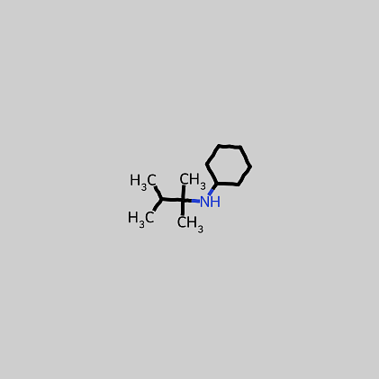 CC(C)C(C)(C)NC1CCCCC1